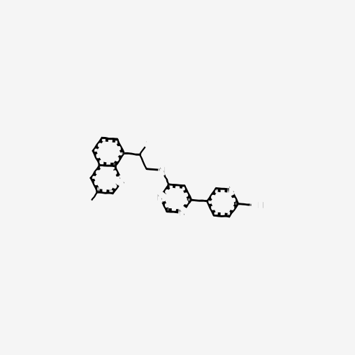 Cc1ccc(-c2cc(NCC(C)c3cccc4cc(F)cnc34)ncn2)cn1